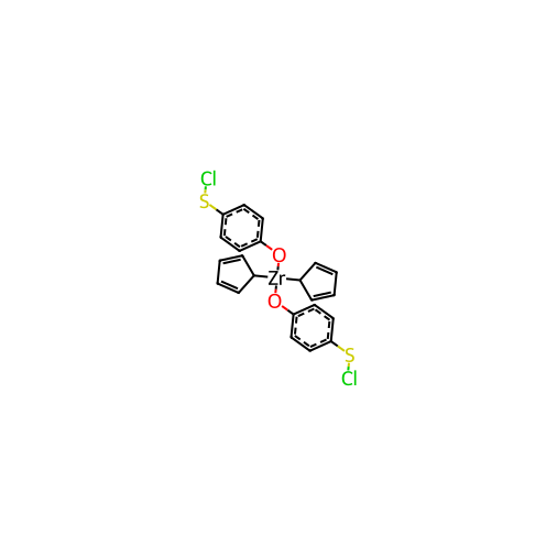 ClSc1ccc([O][Zr]([O]c2ccc(SCl)cc2)([CH]2C=CC=C2)[CH]2C=CC=C2)cc1